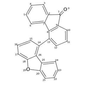 O=C1c2ccccc2-c2c1cccc2-c1cccc2oc3ccccc3c12